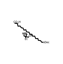 CCC(CO)(CO)CO.CCCCCCCCCCCCCCCCCCCCCCCCCCCCCC(=O)O